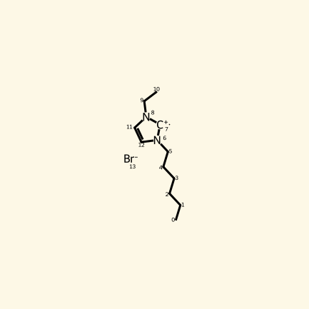 CCCCCCN1[C+]N(CC)C=C1.[Br-]